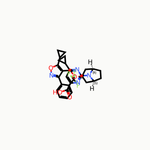 O=C(O)c1cc(C2CC2)nc(N2[C@@H]3CC[C@H]2C[C@H](OCc2c(-c4ccccc4C(F)(F)F)noc2C2CC2)C3)n1